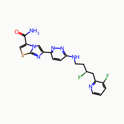 NC(=O)c1csc2nc(-c3ccc(NCC[C@H](F)Cc4ncccc4F)nn3)cn12